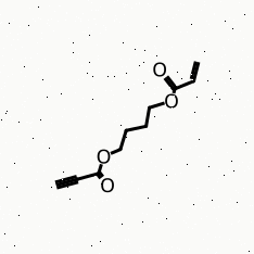 C#CC(=O)OCCCCOC(=O)C=C